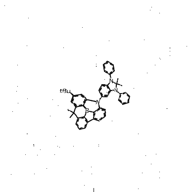 CC(C)(C)c1cc2c3c(c1)C(C)(C)c1cccc4c1B3c1c-4cccc1N2c1ccc2c(c1)N(c1ccccc1)C(C)(C)N2c1ccccc1